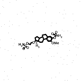 COc1cc2c(cc1OS(N)(=O)=O)CCC1C2CCC2(C)C(OCCOS(N)(=O)=O)CCC12